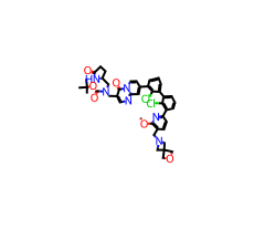 COc1nc(-c2cccc(-c3cccc(-c4ccn5c(=O)c(CN(CC6CCC(=O)N6)C(=O)OC(C)(C)C)cnc5c4)c3Cl)c2Cl)ccc1CN1CC2(COC2)C1